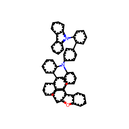 c1cc(-c2cccc3oc4ccccc4c23)cc(N(c2ccc(-c3ccccc3-n3c4ccccc4c4ccccc43)cc2)c2ccccc2-c2cccc3ccccc23)c1